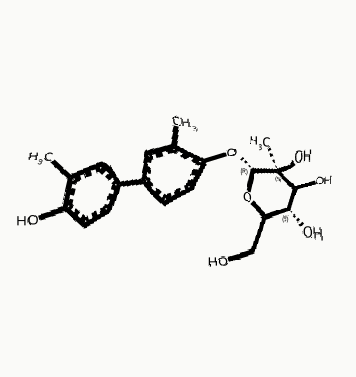 Cc1cc(-c2ccc(O[C@H]3OC(CO)[C@@H](O)C(O)[C@]3(C)O)c(C)c2)ccc1O